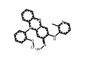 Cc1ncccc1Nc1cc2nc3ccccc3n(-c3ccccc3OC(F)(F)F)c-2c/c1=N\C(C)C